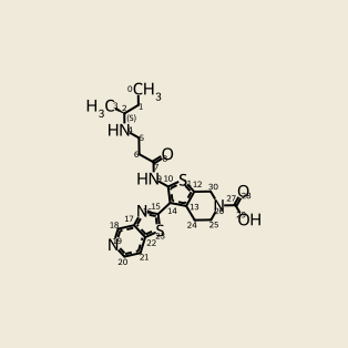 CC[C@H](C)NCCC(=O)Nc1sc2c(c1-c1nc3cnccc3s1)CCN(C(=O)O)C2